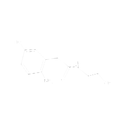 Nc1ccc(O)cc1CC(=O)NCCO